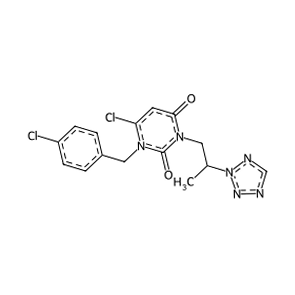 CC(Cn1c(=O)cc(Cl)n(Cc2ccc(Cl)cc2)c1=O)n1ncnn1